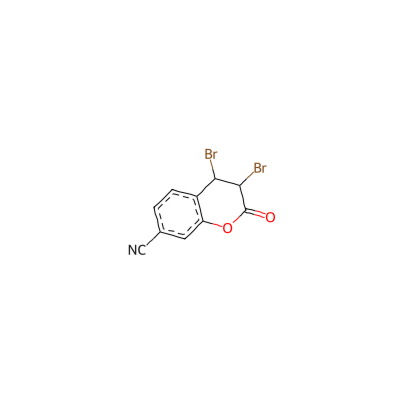 N#Cc1ccc2c(c1)OC(=O)C(Br)C2Br